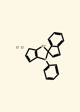 C1=CC2=[C](C1)[Zr+2][C]1(C=Cc3ccccc31)P2c1ccccc1.[Cl-].[Cl-]